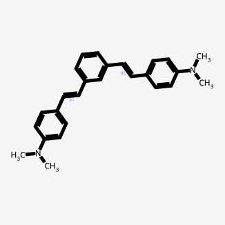 CN(C)c1ccc(/C=C/c2cccc(/C=C/c3ccc(N(C)C)cc3)c2)cc1